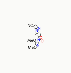 COc1cc(OC)c(N2CC3(CCCC(C)(Cn4cnc5ccc(C#N)cc54)C3)OC2=O)cn1